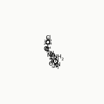 Cn1cnc2nc(N)n(Cc3nc([C@@H]4CO[C@@H](c5ccc(Cl)cc5)C4)no3)c(=O)c21